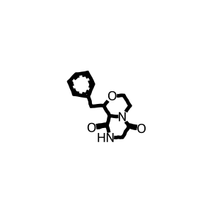 O=C1NCC(=O)N2CCOC(Cc3ccccc3)C12